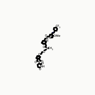 COc1cnc(C(=O)NCc2cccc(CC(=O)N(C)CCOCCOc3ccc4c(c3)C(=O)N(C3CCC(=O)NC3=O)C4=O)c2)cc1/C=C/C1CCC(C(F)(F)F)CC1